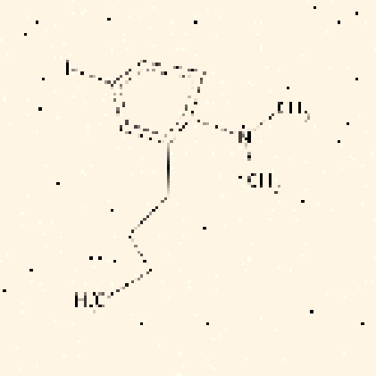 CCCCc1cc(I)ccc1N(C)C